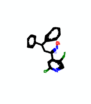 O/N=C(\CC(c1ccccc1)c1ccccc1)c1cc(Cl)ncc1F